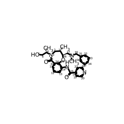 C[C@H]1CN([C@@H](C)CO)C(=O)c2cccc(NC(=O)c3ccncc3)c2O[C@@H]1CN(C)Cc1ccccc1